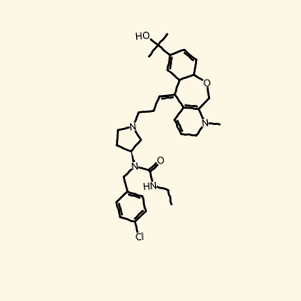 CCNC(=O)N(Cc1ccc(Cl)cc1)[C@H]1CCN(CC/C=C2\C3=C(COC4C=CC(C(C)(C)O)=CC24)N(C)CC=C3)C1